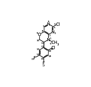 CN1c2nc(Cl)ncc2OCC1c1cc(F)c(F)cc1Cl